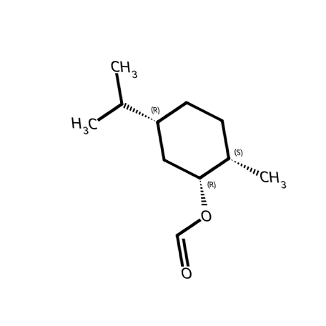 CC(C)[C@@H]1CC[C@H](C)[C@H](OC=O)C1